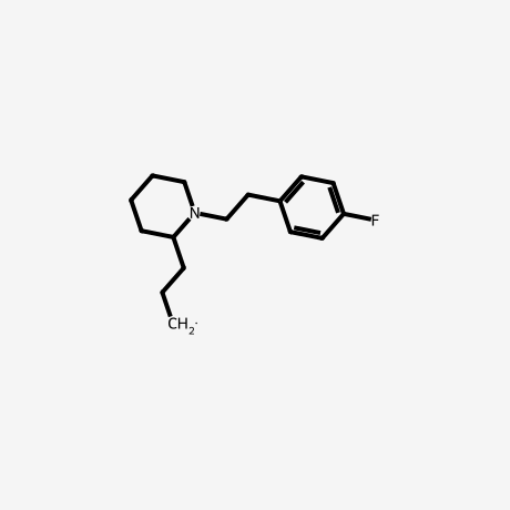 [CH2]CCC1CCCCN1CCc1ccc(F)cc1